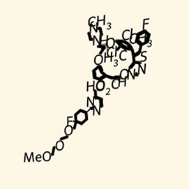 COCCOCCOC[C@]1(F)CC[C@@H](c2nccc(COc3ccc4cc3C[C@H](C(=O)O)Oc3ncnc5sc(-c6ccc(F)cc6)c(c35)-c3c(C)c(Cl)c(c(Cl)c3C)O[C@H](CN3CCN(C)CC3)CO4)n2)CC1